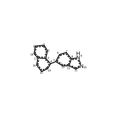 c1ccc2c(-c3ccc4[nH]ncc4c3)cccc2c1